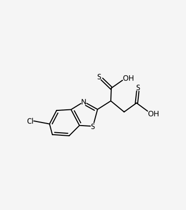 OC(=S)CC(C(O)=S)c1nc2cc(Cl)ccc2s1